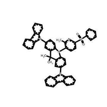 Cc1nc(S(=O)(=O)c2ccccc2)ccc1N1c2ccc(-n3c4ccccc4c4ccccc43)cc2C(C)(C)c2cc(-n3c4ccccc4c4ccccc43)ccc21